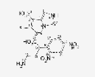 CC1=C(S(=O)(=O)O)C2=CNSN2C=C1.NCCC(C(=O)O)c1ccc([N+](=O)[O-])cc1[N+](=O)[O-]